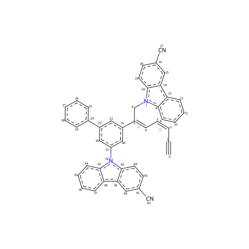 C#C/C=C\C=C(/Cn1c2ccccc2c2cc(C#N)ccc21)c1cc(-c2ccccc2)cc(-n2c3ccccc3c3cc(C#N)ccc32)c1